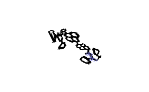 C=C(/C=C(\C=C(/C)c1ccc2ccc3c(-c4cc5cccc6c5c5c4cccc5c4c6c5ccccc5n4-c4cc(-c5ccccc5)cc(-c5ccccc5)c4)ccc4ccc1c2c43)c1ccccc1)c1ccccc1